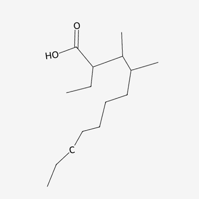 CCCCCCCC(C)C(C)C(CC)C(=O)O